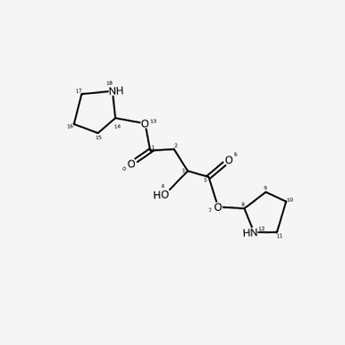 O=C(CC(O)C(=O)OC1CCCN1)OC1CCCN1